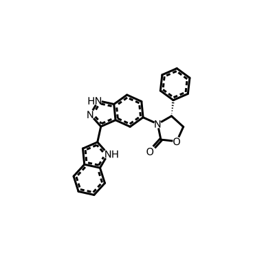 O=C1OC[C@@H](c2ccccc2)N1c1ccc2[nH]nc(-c3cc4ccccc4[nH]3)c2c1